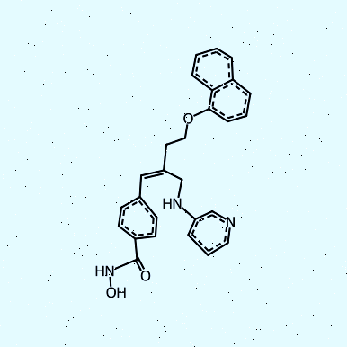 O=C(NO)c1ccc(C=C(CCOc2cccc3ccccc23)CNc2cccnc2)cc1